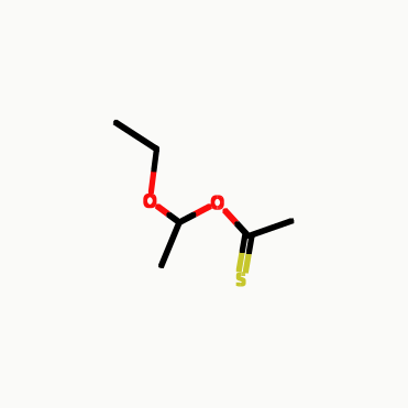 CCOC(C)OC(C)=S